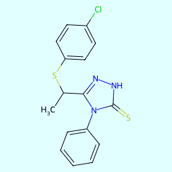 CC(Sc1ccc(Cl)cc1)c1n[nH]c(=S)n1-c1ccccc1